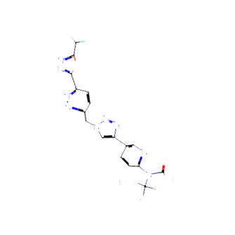 CC(C)(C)N(C(=O)O)c1ccc(-c2cn(Cc3ccc(-c4nnc(C(F)F)o4)nn3)nn2)cn1